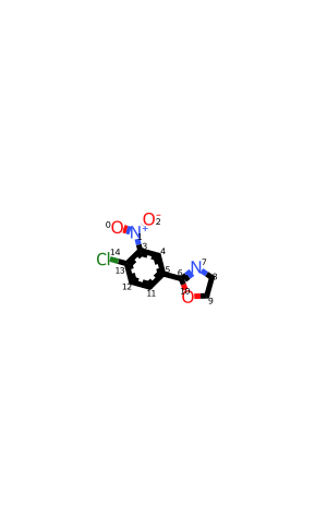 O=[N+]([O-])c1cc(C2=NCCO2)ccc1Cl